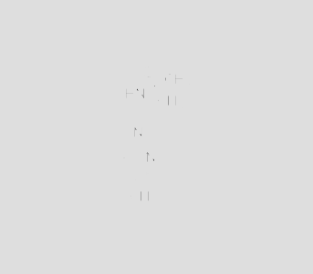 Cc1ccc(N2CC(NC(C)(C)C)C2)nc1